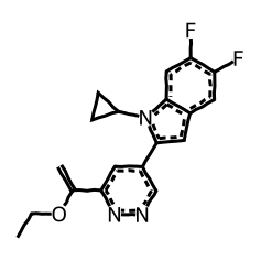 C=C(OCC)c1cc(-c2cc3cc(F)c(F)cc3n2C2CC2)cnn1